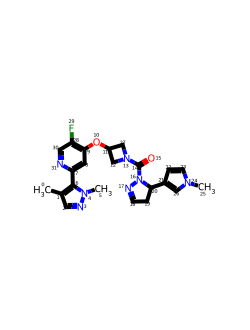 Cc1cnn(C)c1-c1cc(OC2CN(C(=O)N3N=CCC3c3ccn(C)c3)C2)c(F)cn1